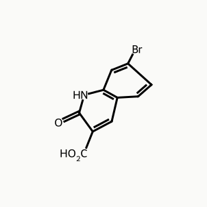 O=C(O)c1cc2ccc(Br)cc2[nH]c1=O